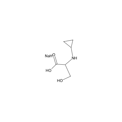 O=C(O)C(CO)NC1CC1.[NaH]